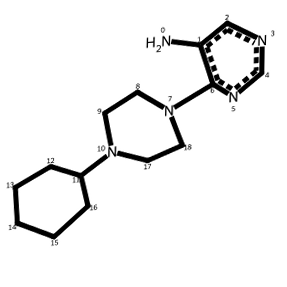 Nc1cncnc1N1CCN(C2CCCCC2)CC1